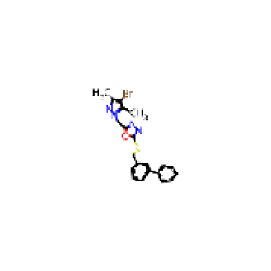 Cc1nn(Cc2nnc(SCc3cccc(-c4ccccc4)c3)o2)c(C)c1Br